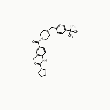 O=C(Nc1ccc(C(=O)N2CCN(Cc3ccc(C(O)(C(F)(F)F)C(F)(F)F)cc3)CC2)cc1F)C1CCCC1